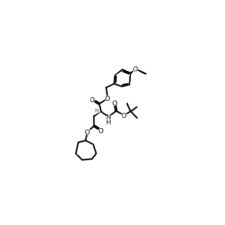 COc1ccc(COC(=O)[C@H](CC(=O)OC2CCCCCC2)NC(=O)OC(C)(C)C)cc1